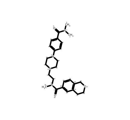 CN(C)C(=O)c1ccc(N2CCN(CCN(C)C(=O)c3ccc4c(c3)CCOC4)CC2)cc1